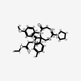 CCOC(=O)CNC(=O)C1(c2ccc(C)cc2)CS/C(N2CCCC2)=N\CC(=O)N1c1ccc(OC)cc1